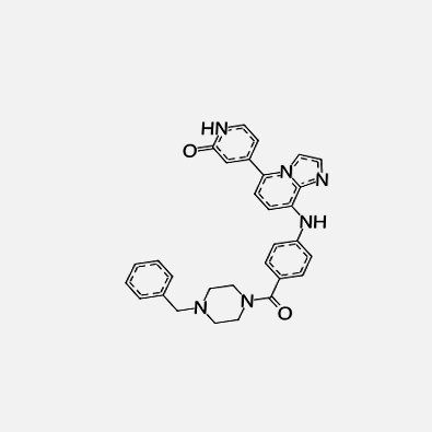 O=C(c1ccc(Nc2ccc(-c3cc[nH]c(=O)c3)n3ccnc23)cc1)N1CCN(Cc2ccccc2)CC1